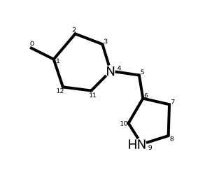 CC1CCN(CC2CCNC2)CC1